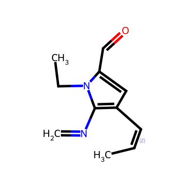 C=Nc1c(/C=C\C)cc(C=O)n1CC